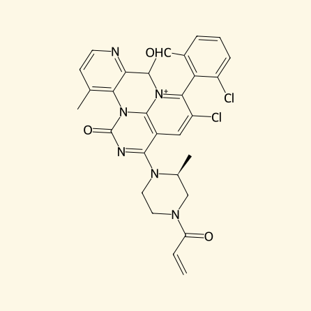 C=CC(=O)N1CCN(c2nc(=O)n3c4c2cc(Cl)c(-c2c(Cl)cccc2C=O)[n+]4C(C)c2nccc(C)c2-3)[C@@H](C)C1